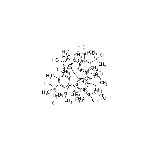 CC1=C(C)[C](C)([Ti+3])C([Si](c2c(C)c(C)c([Si](C)(C)C)c([Si](C)(C)C)c2[Si](C)(C)C)(c2c(C)c(C)c([Si](C)(C)C)c([Si](C)(C)C)c2[Si](C)(C)C)c2c(C)c(C)c([Si](C)(C)C)c([Si](C)(C)C)c2[Si](C)(C)C)=C1C.[Cl-].[Cl-].[Cl-]